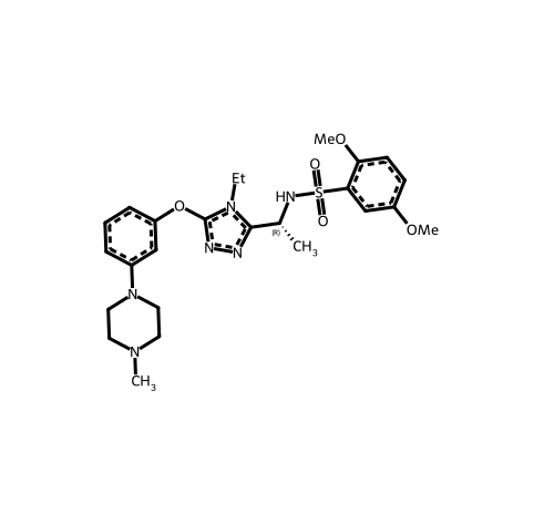 CCn1c(Oc2cccc(N3CCN(C)CC3)c2)nnc1[C@@H](C)NS(=O)(=O)c1cc(OC)ccc1OC